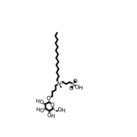 CCCCCCCCCCCCCC[N+](C)(CCCCO[C@@H]1O[C@H](CO)[C@@H](O)[C@H](O)[C@H]1O)CCCS(=O)(=O)O